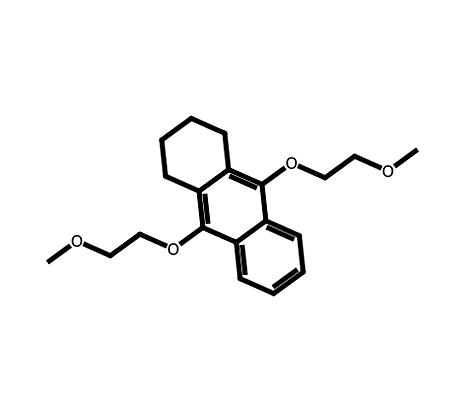 COCCOc1c2c(c(OCCOC)c3ccccc13)CCCC2